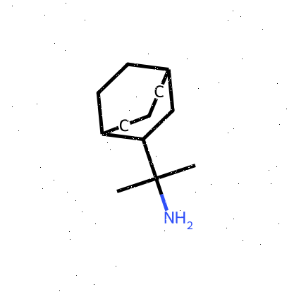 CC(C)(N)C1CC2CCCC1CC2